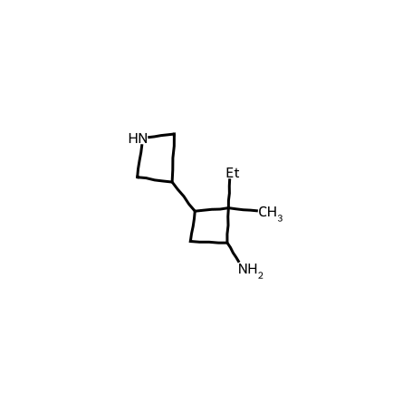 CCC1(C)C(N)CC1C1CNC1